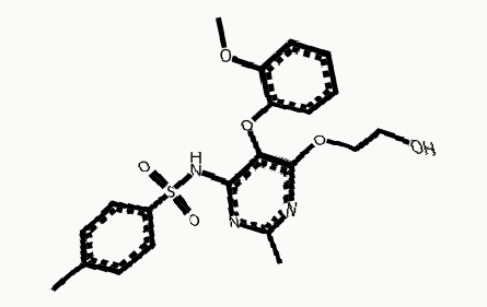 COc1ccccc1Oc1c(NS(=O)(=O)c2ccc(C)cc2)nc(C)nc1OCCO